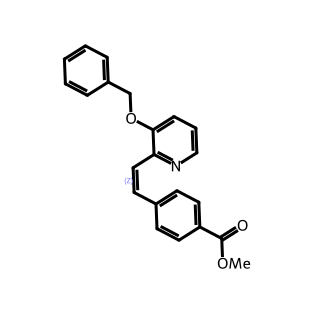 COC(=O)c1ccc(/C=C\c2ncccc2OCc2ccccc2)cc1